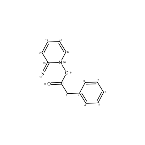 O=C(Cc1ccccc1)On1ccccc1=S